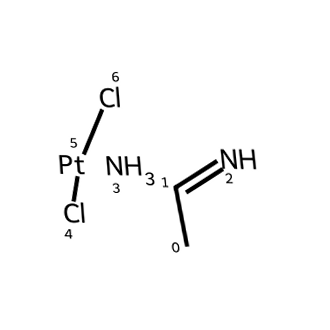 CC=N.N.[Cl][Pt][Cl]